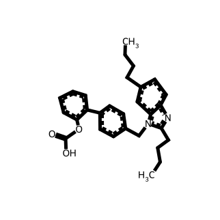 CCCCc1ccc2nc(CCCC)n(Cc3ccc(-c4ccccc4OC(=O)O)cc3)c2c1